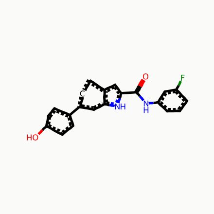 O=C(Nc1cccc(F)c1)c1cc2ccc(-c3ccc(O)cc3)cc2[nH]1